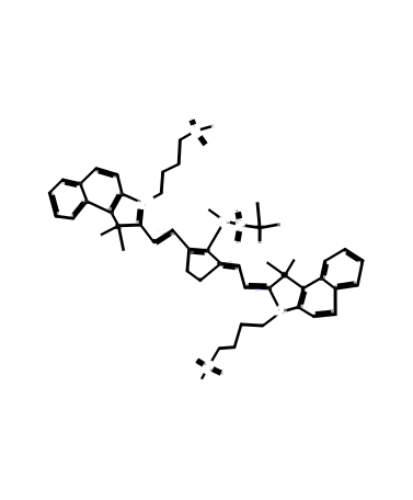 CN(C1=C(/C=C/C2=[N+](CCCCS(=O)(=O)[O-])c3ccc4ccccc4c3C2(C)C)CC/C1=C\C=C1\N(CCCCS(=O)(=O)O)c2ccc3ccccc3c2C1(C)C)S(=O)(=O)C(C)(F)F